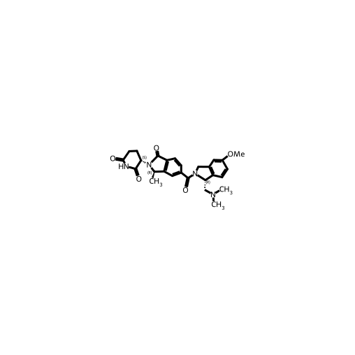 COc1ccc2c(c1)CN(C(=O)c1ccc3c(c1)[C@@H](C)N([C@H]1CCC(=O)NC1=O)C3=O)[C@H]2CN(C)C